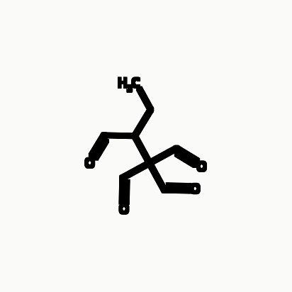 CCC(C=O)C(C=O)(C=O)C=O